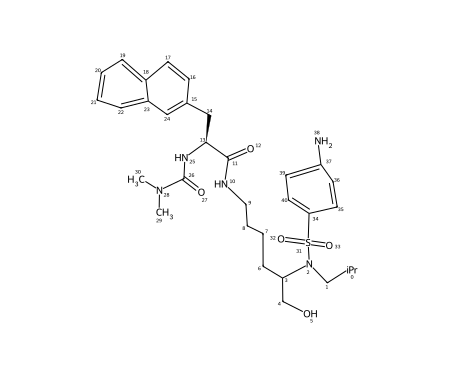 CC(C)CN(C(CO)CCCCNC(=O)[C@H](Cc1ccc2ccccc2c1)NC(=O)N(C)C)S(=O)(=O)c1ccc(N)cc1